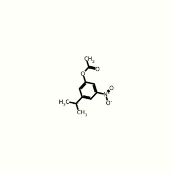 C[C](C)c1cc(OC(C)=O)cc([N+](=O)[O-])c1